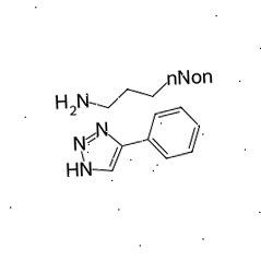 CCCCCCCCCCCCN.c1ccc(-c2c[nH]nn2)cc1